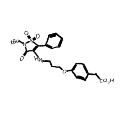 CC(C)(C)N1C(=O)C(NCCCOc2ccc(CC(=O)O)cc2)=C(c2ccccc2)S1(=O)=O